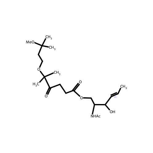 C/C=C/C(O)C(COC(=O)CCC(=O)C(C)(C)OCCC(C)(C)OC)NC(C)=O